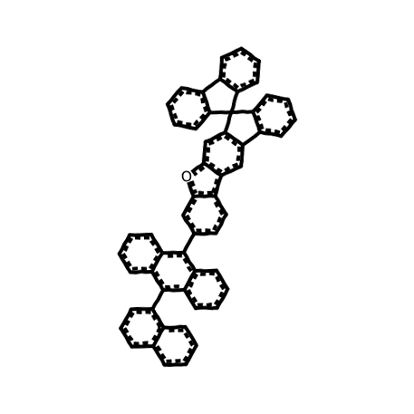 c1ccc2c(c1)-c1ccccc1C21c2ccccc2-c2cc3c(cc21)oc1cc(-c2c4ccccc4c(-c4cccc5ccccc45)c4ccccc24)ccc13